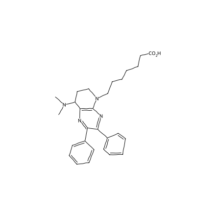 CN(C)C1CCN(CCCCCCC(=O)O)c2nc(-c3ccccc3)c(-c3ccccc3)nc21